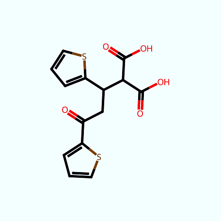 O=C(CC(c1cccs1)C(C(=O)O)C(=O)O)c1cccs1